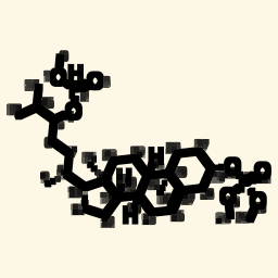 CO[PH](=O)OC(CC[C@@H](C)[C@H]1CC[C@H]2[C@@H]3CC=C4C[C@@H](OP(=O)(OC)OC)CC[C@]4(C)[C@H]3CC[C@]12C)C(C)C